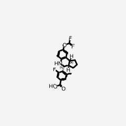 Cc1cc(C(=O)O)cc(F)c1[C@@H]1Nc2ccc(OC(F)F)cc2[C@@H]2CCC[C@@H]21